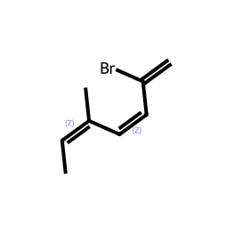 C=C(Br)/C=C\C(C)=C/C